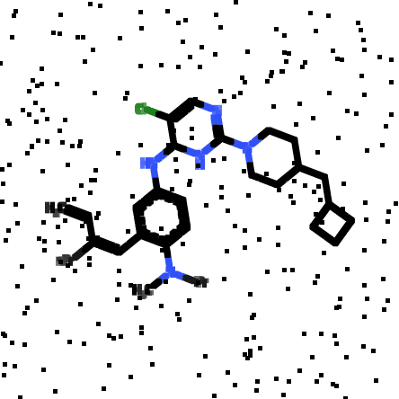 C=C/C(=C\c1cc(NC2NC(N3CCC(CC4CCC4)CC3)=NC=C2Cl)ccc1N(C)C(C)C)CCC